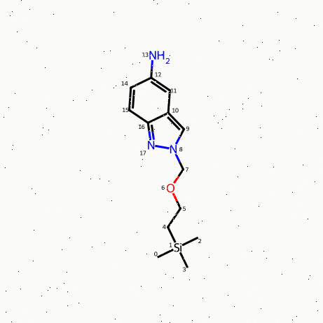 C[Si](C)(C)CCOCn1cc2cc(N)ccc2n1